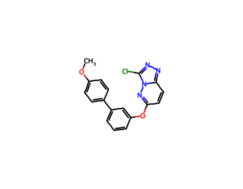 COc1ccc(-c2cccc(Oc3ccc4nnc(Cl)n4n3)c2)cc1